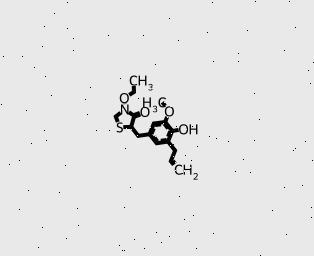 C=CCc1cc(CC2SCN(OCC)C2=O)cc(OC)c1O